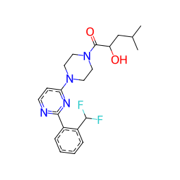 CC(C)CC(O)C(=O)N1CCN(c2ccnc(-c3ccccc3C(F)F)n2)CC1